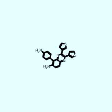 Nc1ccc(-c2c(N)ccc3nc(-c4ccsc4)c(-c4ccsc4)nc23)cc1